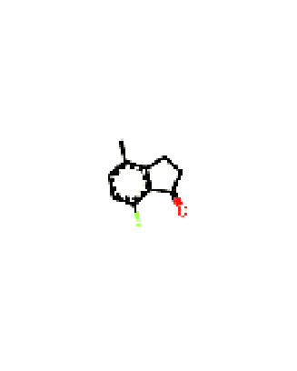 Cc1ccc(F)c2c1CCC2=O